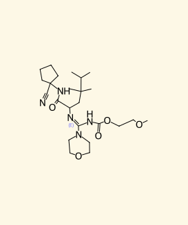 COCCOC(=O)N/C(=N\C(CC(C)(C)C(C)C)C(=O)NC1(C#N)CCCC1)N1CCOCC1